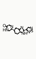 O=c1cnc(-c2ccc3[nH]c(-c4cnsn4)nc3c2)c[nH]1